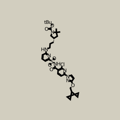 CC(C)(C)OC(=O)N1C[C@@H](CCCNc2cccc(S(=O)(=O)NC(=O)c3ccc(-n4ccc(OCC5C6(CC6)C56CC6)n4)nc3Cl)n2)CC1(C)C